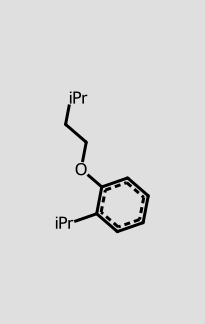 CC(C)CCOc1ccccc1C(C)C